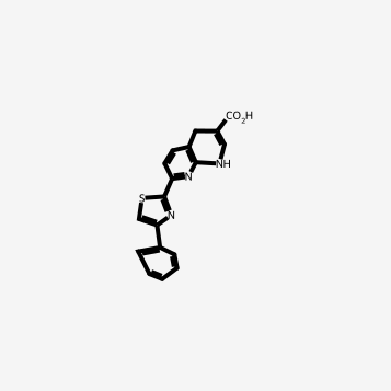 O=C(O)C1=CNc2nc(-c3nc(-c4ccccc4)cs3)ccc2C1